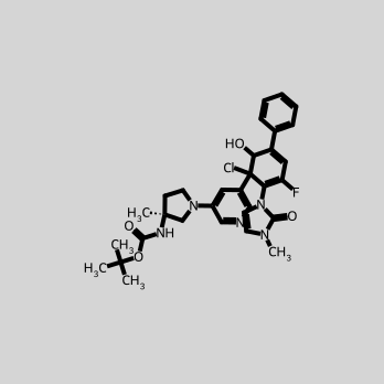 Cn1ccn(C2=C(F)C=C(c3ccccc3)C(O)C2(Cl)c2cncc(N3CC[C@](C)(NC(=O)OC(C)(C)C)C3)c2)c1=O